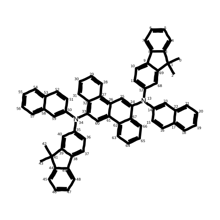 CC1(C)c2ccccc2-c2ccc(N(c3ccc4ccccc4c3)c3cc4c5ccccc5c(N(c5ccc6c(c5)C(C)(C)c5ccccc5-6)c5ccc6ccccc6c5)cc4c4ccccc34)cc21